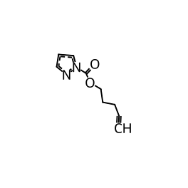 C#CCCCOC(=O)n1cccn1